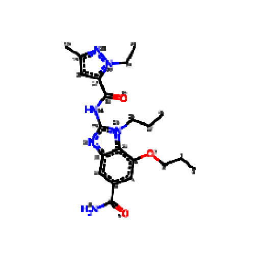 CCCOc1cc(C(N)=O)cc2nc(NC(=O)c3cc(C)nn3CC)n(CCC)c12